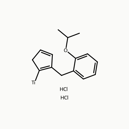 CC(C)Oc1ccccc1CC1=[C]([Ti])CC=C1.Cl.Cl